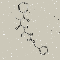 CC(C(=O)NC(=S)NNOCc1ccccc1)C(=O)c1ccccc1